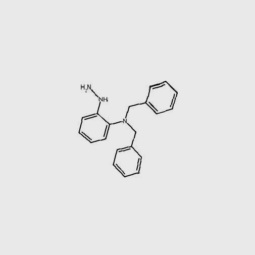 NNc1ccccc1N(Cc1ccccc1)Cc1ccccc1